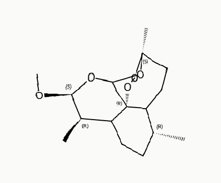 CO[C@H]1OC2O[C@]3(C)CCC4[C@H](C)CCC([C@H]1C)[C@@]24OO3